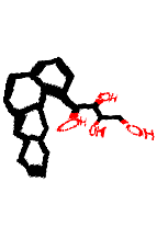 OCC(O)C(O)C(O)c1cccc2ccc3cc4ccccc4cc3c12